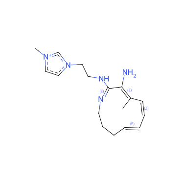 CC1=C(N)\C(NCCn2cc[n+](C)c2)=N/CCC/C=C/C=C\1